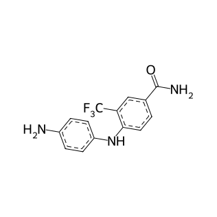 NC(=O)c1ccc(Nc2ccc(N)cc2)c(C(F)(F)F)c1